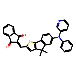 CC1(C)c2cc(N(c3ccccc3)c3cccnc3)ccc2-c2sc(C=C3C(=O)c4ccccc4C3=O)cc21